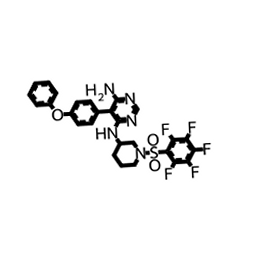 Nc1ncnc(NC2CCCN(S(=O)(=O)c3c(F)c(F)c(F)c(F)c3F)C2)c1-c1ccc(Oc2ccccc2)cc1